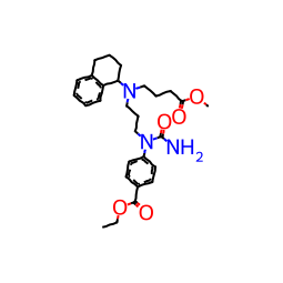 CCOC(=O)c1ccc(N(CCCN(CCCC(=O)OC)C2CCCc3ccccc32)C(N)=O)cc1